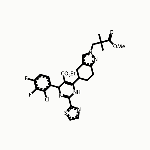 CCOC(=O)C1=C(C2CCc3nn(CC(C)(C)C(=O)OC)cc3C2)NC(c2nccs2)=NC1c1ccc(F)c(F)c1Cl